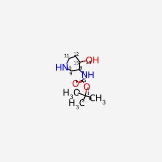 CC(C)(C)OC(=O)NC1CNCCC1O